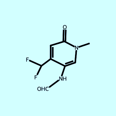 Cn1cc(NC=O)c(C(F)F)cc1=O